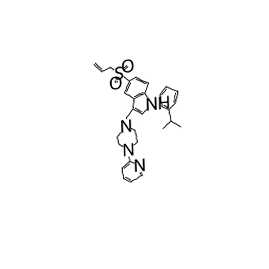 C=CCS(=O)(=O)c1ccc2[nH]cc(CN3CCN(c4ccccn4)CC3)c2c1.CC(C)c1ccccc1